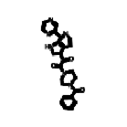 O=C(C(=O)N1CCN(C(=O)c2ccccc2)CC1)C1CNc2c1ccnc2-c1cnccn1